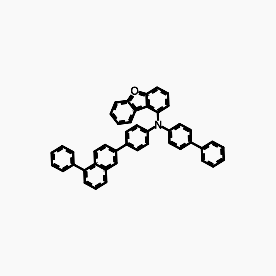 c1ccc(-c2ccc(N(c3ccc(-c4ccc5c(-c6ccccc6)cccc5c4)cc3)c3cccc4oc5ccccc5c34)cc2)cc1